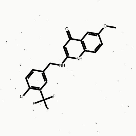 COc1ccc2[nH]c(NCc3ccc(Cl)c(C(F)(F)F)c3)cc(=O)c2c1